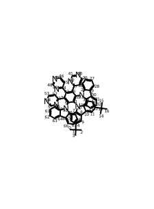 CC(C)(C)c1ccc2c(c1)c1cc(C(C)(C)C)ccc1n2-c1c(-n2c3ccccc3c3ccccc32)c(-c2ccncn2)c(-c2ccncn2)c(-c2ccncn2)c1-n1c2ccccc2c2ccccc21